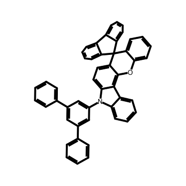 c1ccc(-c2cc(-c3ccccc3)cc(-n3c4ccccc4c4c5c(ccc43)C3(c4ccccc4O5)c4ccccc4-c4ccccc43)c2)cc1